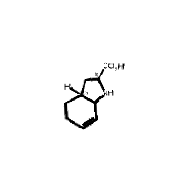 O=C(O)[C@@H]1C[C@H]2CCC=CC2N1